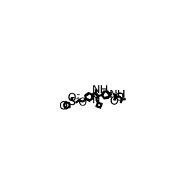 CC(C)OC(=O)Nc1ccc(-c2c(N)c3ccc(OCC[S+]([O-])C4CCOC4)cc3n2C2CCC2)cc1